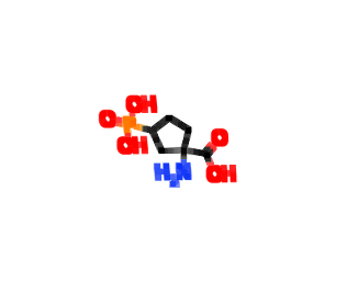 NC1(C(=O)O)CCC(P(=O)(O)O)C1